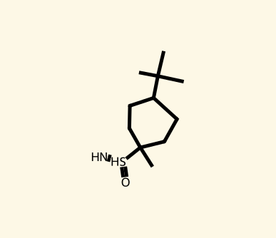 CC(C)(C)C1CCC(C)([SH](=N)=O)CC1